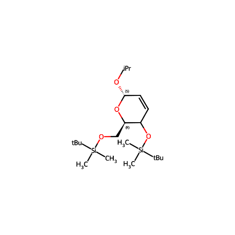 CC(C)O[C@@H]1C=CC(O[Si](C)(C)C(C)(C)C)[C@@H](CO[Si](C)(C)C(C)(C)C)O1